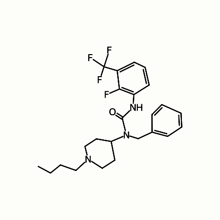 CCCCN1CCC(N(Cc2ccccc2)C(=O)Nc2cccc(C(F)(F)F)c2F)CC1